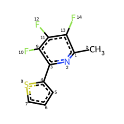 Cc1nc(-c2cccs2)c(F)c(F)c1F